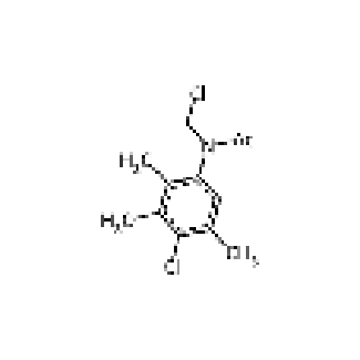 CC(=O)N(CCl)c1cc(C)c(Cl)c(C)c1C